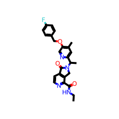 CCNC(=O)c1nccc2c1CN(C(C)c1cc(C)c(OCc3ccc(F)cc3)cn1)C2=O